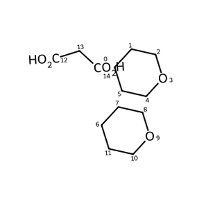 C1CCOCC1.C1CCOCC1.O=C(O)CC(=O)O